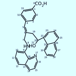 O=C(O)c1ccc(C=C(CNc2cccc3cccnc23)CC(O)c2cccc3ccccc23)cc1